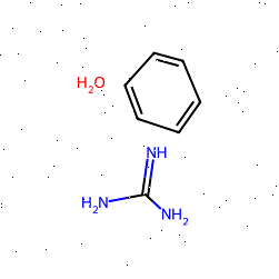 N=C(N)N.O.c1ccccc1